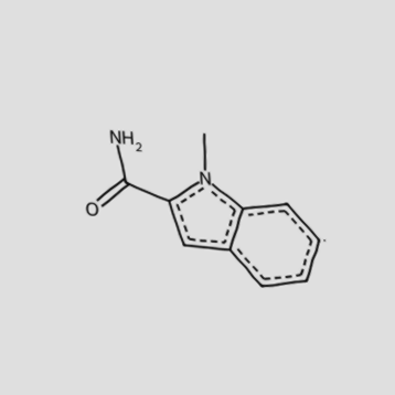 Cn1c(C(N)=O)cc2cc[c]cc21